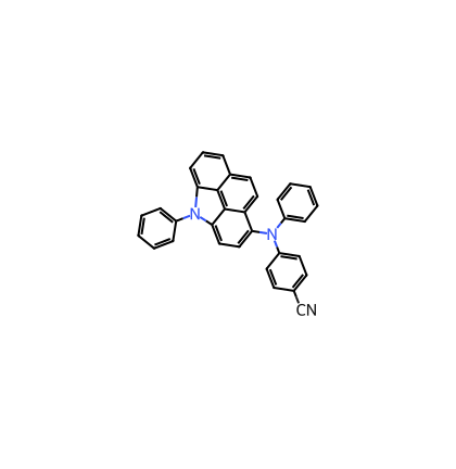 N#Cc1ccc(N(c2ccccc2)c2ccc3c4c2ccc2cccc(c24)n3-c2ccccc2)cc1